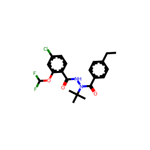 CCc1ccc(C(=O)N(NC(=O)c2ccc(Cl)cc2OC(F)F)C(C)(C)C)cc1